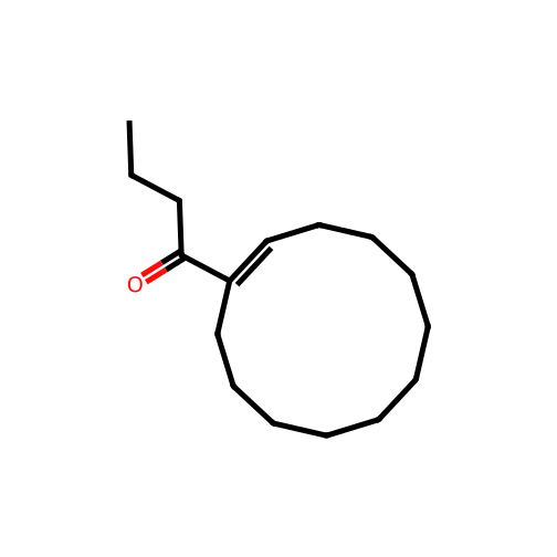 CCCC(=O)/C1=C/CCCCCCCCCC1